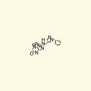 CCCN1CC(=O)N(C)c2cnc(NCc3cnn(Cc4ccccc4)c3)nc21